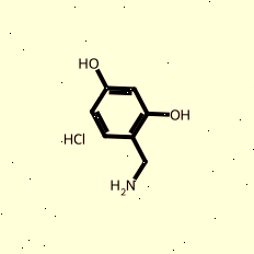 Cl.NCc1ccc(O)cc1O